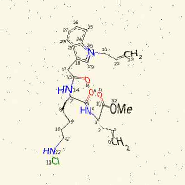 C=CC[C@H](NC(=O)[C@@H](CCCCNCl)NC(=O)Cc1cn(CC=C)c2ccccc12)C(=O)OC